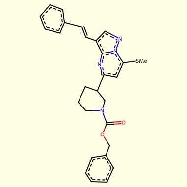 CSc1cc(C2CCCN(C(=O)OCc3ccccc3)C2)nc2c(/C=C/c3ccccc3)cnn12